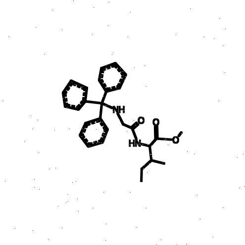 CCC(C)C(NC(=O)CNC(c1ccccc1)(c1ccccc1)c1ccccc1)C(=O)OC